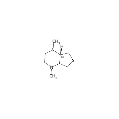 CN1CCN(C)[C@@H]2CSCC21